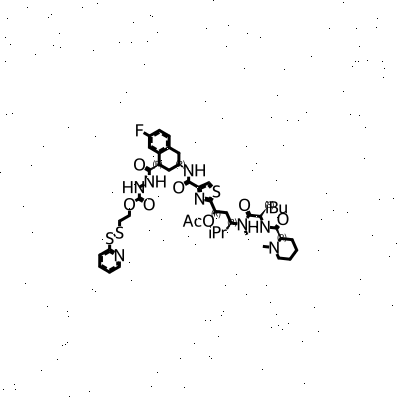 CC[C@H](C)C(NC(=O)[C@H]1CCCCN1C)C(=O)N(C)[C@H](C[C@@H](OC(C)=O)c1nc(C(=O)N[C@H]2Cc3ccc(F)cc3[C@H](C(=O)NNC(=O)OCCSSc3ccccn3)C2)cs1)C(C)C